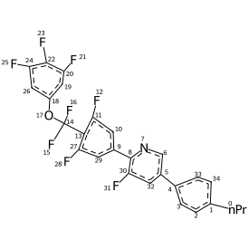 CCCc1ccc(-c2cnc(-c3cc(F)c(C(F)(F)Oc4cc(F)c(F)c(F)c4)c(F)c3)c(F)c2)cc1